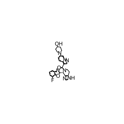 O=C(c1cnn2cc(N3CCC(O)CC3)ccc12)N1CCc2[nH]cnc2[C@H]1c1nc2cccc(F)c2o1